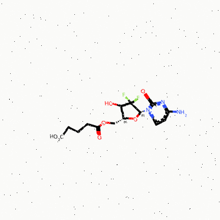 Nc1ccn([C@@H]2O[C@H](COC(=O)CCCC(=O)O)C(O)C2(F)F)c(=O)n1